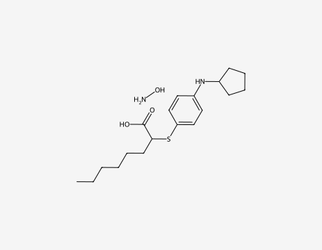 CCCCCCC(Sc1ccc(NC2CCCC2)cc1)C(=O)O.NO